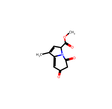 COC(=O)C1C=C(C)C2=CC(=O)CC(=O)N21